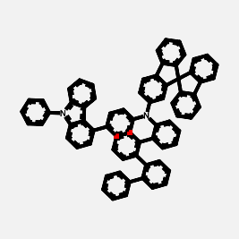 c1ccc(-c2ccccc2-c2ccccc2-c2ccccc2N(c2ccc(-c3cccc4c3c3ccccc3n4-c3ccccc3)cc2)c2ccc3c(c2)C2(c4ccccc4-c4ccccc42)c2ccccc2-3)cc1